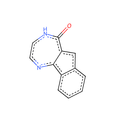 O=c1[nH]ccnc2c3ccccc3cc1-2